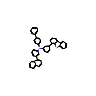 c1ccc(-c2ccc(N(c3cccc(-c4cccc5ccccc45)c3)c3cccc(-c4cccc5c4sc4ccccc45)c3)cc2)cc1